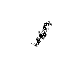 Cc1c(-c2nc3cc(CN4CCC(C(=O)O)C4)cc(Cl)c3o2)cccc1-c1cccc(Nc2nccc3cc(CN4CCC(O)C4)cnc23)c1Cl